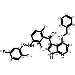 O=C(c1c(F)ccc(NSc2cc(F)ccc2F)c1F)c1c[nH]c2ncnc(NCc3ccccc3)c12